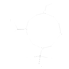 CC(C)(C)C(C(=O)O)N1CCN(CC(=O)O)CCNCCN(C(C(=O)O)(C(C)(C)C)C(C)(C)C)CC1